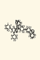 c1ccc(-c2cc(-c3ccccc3)nc(-n3c4ccc(-c5ccc6oc7ccccc7c6c5)cc4c4ccncc43)c2)cc1